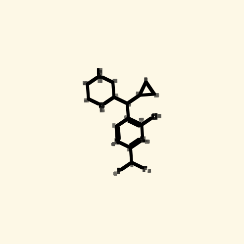 FC(F)c1ncc(C(C2CC2)C2CNCCO2)c(Cl)n1